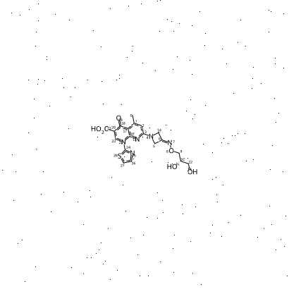 Cc1cc(N2CC(=NOC[C@@H](O)CO)C2)nc2c1c(=O)c(C(=O)O)cn2-c1nccs1